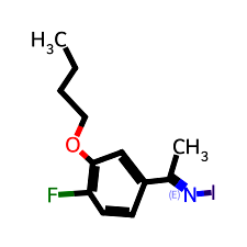 CCCCOc1cc(/C(C)=N/I)ccc1F